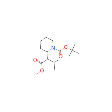 COC(=O)C(C(C)C)C1CCCCN1C(=O)OC(C)(C)C